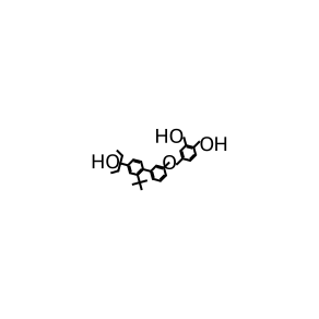 CCC(O)(CC)c1ccc(-c2cccc(OCc3ccc(CO)c(CO)c3)c2)c(C(C)(C)C)c1